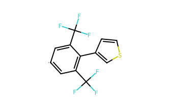 FC(F)(F)c1c[c]cc(C(F)(F)F)c1-c1ccsc1